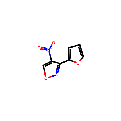 O=[N+]([O-])c1conc1-c1ccco1